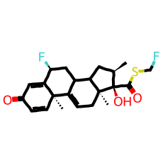 C[C@@H]1CC2C3C[C@H](F)C4=CC(=O)C=C[C@]4(C)C3=CC[C@]2(C)[C@@]1(O)C(=O)SCF